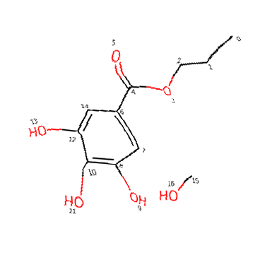 CCCOC(=O)c1cc(O)c(O)c(O)c1.CO